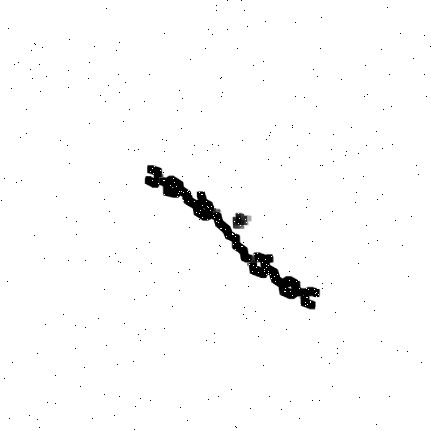 CCN(CC)c1ccc(/C=C/c2cc[n+](CCCCCCCC[n+]3ccc(/C=C/c4ccc(N(CC)CC)cc4)c(C)c3)cc2C)cc1.[Br-].[Br-]